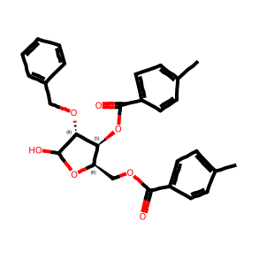 Cc1ccc(C(=O)OC[C@H]2OC(O)[C@H](OCc3ccccc3)[C@H]2OC(=O)c2ccc(C)cc2)cc1